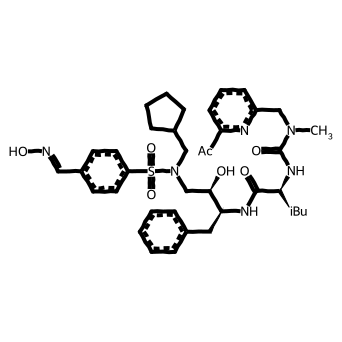 CC[C@H](C)[C@H](NC(=O)N(C)Cc1cccc(C(C)=O)n1)C(=O)N[C@@H](Cc1ccccc1)[C@H](O)CN(CC1CCCC1)S(=O)(=O)c1ccc(C=NO)cc1